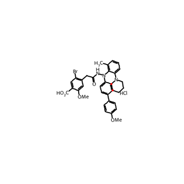 COc1ccc(-c2ccc(N(NC(=O)Cc3cc(OC)c(C(=O)O)cc3Br)c3c(C)cccc3N3CCCCC3)cc2)cc1.Cl